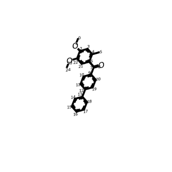 COc1cc(C)c(C(=O)c2ccc(-c3ccccc3)cc2)cc1OC